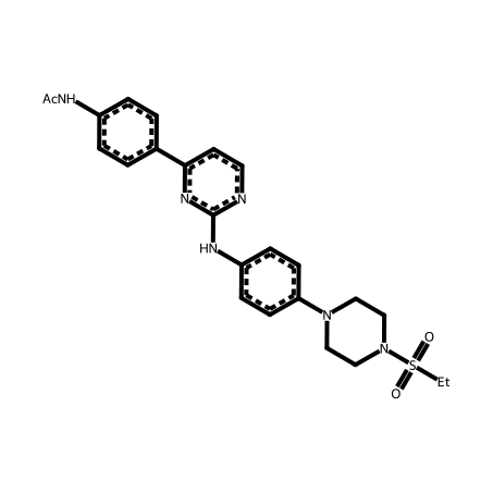 CCS(=O)(=O)N1CCN(c2ccc(Nc3nccc(-c4ccc(NC(C)=O)cc4)n3)cc2)CC1